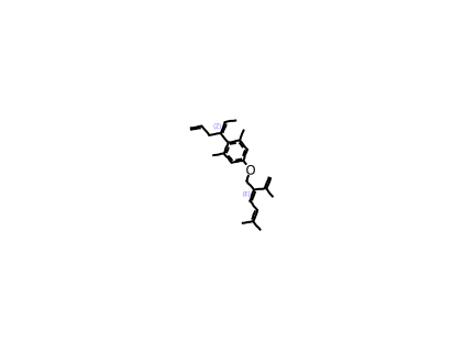 C=CC/C(=C/C)c1c(C)cc(OC/C(=C/C=C(C)C)C(=C)C)cc1C